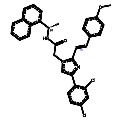 COc1ccc(/C=C/c2nc(-c3ccc(Cl)cc3Cl)cn2CC(=O)N[C@@H](C)c2cccc3ccccc23)cc1